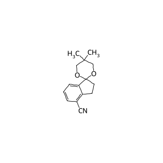 CC1(C)COC2(CCc3c(C#N)cccc32)OC1